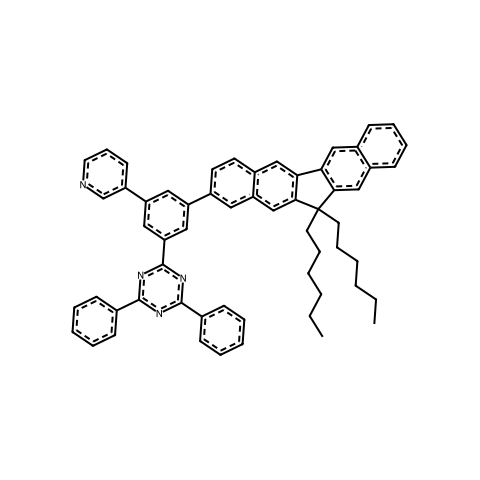 CCCCCCC1(CCCCCC)c2cc3ccccc3cc2-c2cc3ccc(-c4cc(-c5cccnc5)cc(-c5nc(-c6ccccc6)nc(-c6ccccc6)n5)c4)cc3cc21